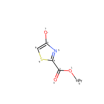 CCCOC(=O)c1nc([O])cs1